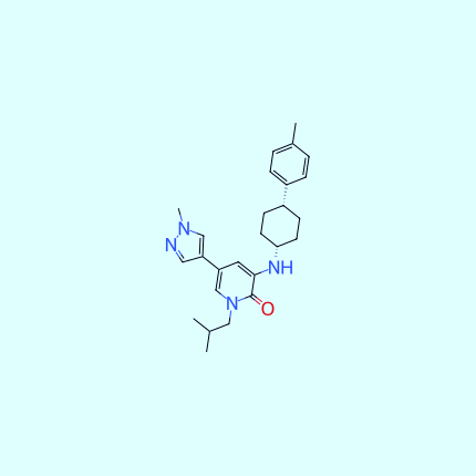 Cc1ccc([C@H]2CC[C@@H](Nc3cc(-c4cnn(C)c4)cn(CC(C)C)c3=O)CC2)cc1